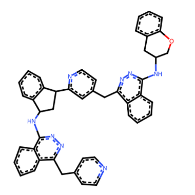 c1ccc2c(c1)CC(Nc1nnc(Cc3ccnc(C4CC(Nc5nnc(Cc6ccncc6)c6ccccc56)c5ccccc54)c3)c3ccccc13)CO2